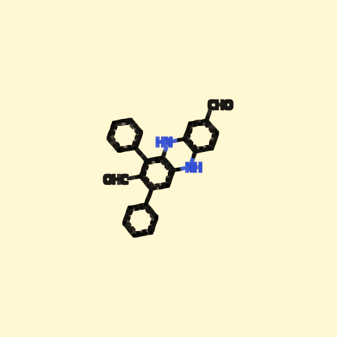 O=Cc1ccc2c(c1)Nc1c(cc(-c3ccccc3)c(C=O)c1-c1ccccc1)N2